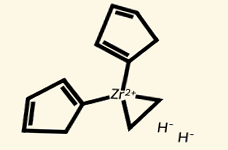 C1=CC[C]([Zr+2]2([C]3=CC=CC3)[CH2][CH2]2)=C1.[H-].[H-]